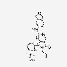 C=CCn1c(=O)c2cnc(Nc3ccc4c(c3)COC4)nc2n1-c1cccc(C(C)(C)O)n1